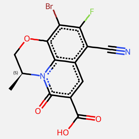 C[C@H]1COc2c(Br)c(F)c(C#N)c3cc(C(=O)O)c(=O)n1c23